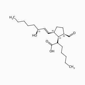 CCCCCC(C(=O)O)[C@@H]1[C@H](C=O)CC[C@@H]1C=C[C@@H](O)CCCCC